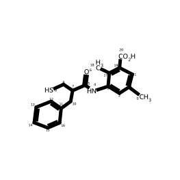 Cc1cc(NC(=O)C(CS)Cc2ccccc2)c(C)c(C(=O)O)c1